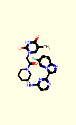 Cc1cn(CC(=O)N2CCC[C@@H](Nc3ccnc(-c4cnc5ccc(F)cn45)n3)C2)c(=O)[nH]c1=O